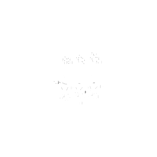 O=P(O)(O)C(F)(F)c1ccc(CSCCCc2nnn[nH]2)cc1Br.O=P([O-])(O)C(F)(F)c1ccc(CSCCCc2nnn[nH]2)cc1Br.O=P([O-])([O-])C(F)(F)c1ccc(CSCCCc2nnn[nH]2)cc1Br.[Na+].[Na+].[Na+]